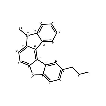 CCCc1ccc2sc3ccc4c(c5ccccc5n4C)c3c2c1